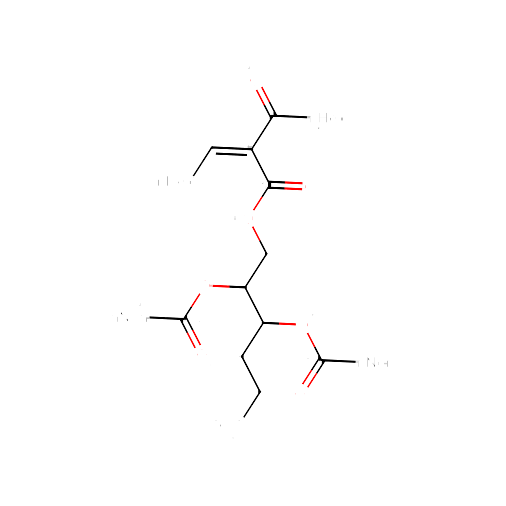 CCCCCCC=C(C(=O)CCCCCC)C(=O)OCC(OC(=O)CCCCCCCCC)C(CCC=O)OC(=O)CCCCCCCCC